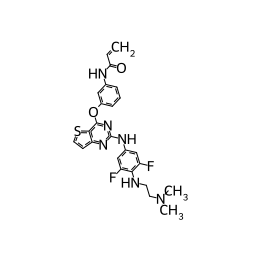 C=CC(=O)Nc1cccc(Oc2nc(Nc3cc(F)c(NCCN(C)C)c(F)c3)nc3ccsc23)c1